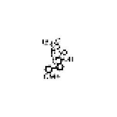 COc1cccc(-c2cccc3c(O)c(C(=O)NCC(=O)OC(C)(C)C)c(=O)oc23)c1